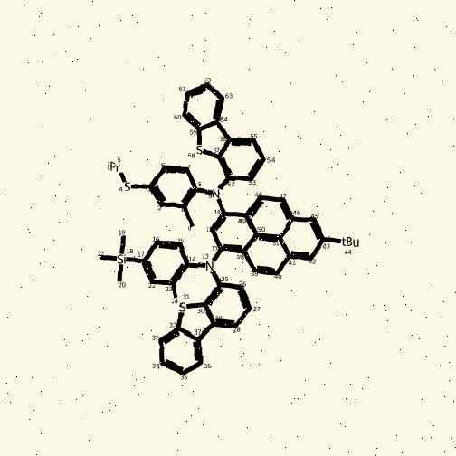 Cc1cc(SC(C)C)ccc1N(c1cc(N(c2ccc([Si](C)(C)C)cc2C)c2cccc3c2sc2ccccc23)c2ccc3cc(C(C)(C)C)cc4ccc1c2c43)c1cccc2c1sc1ccccc12